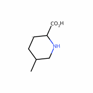 CC1C[CH]C(C(=O)O)NC1